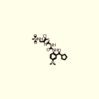 CN(C)c1ccc(NC(=O)Nc2nc(CNS(C)(=O)=O)c(Cl)s2)c(C(=O)C2CCCC2)c1